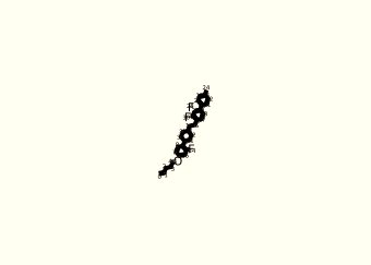 C=CCCCOc1ccc(C2CCC(CCc3ccc(-c4ccc(C)cc4)c(F)c3F)CC2)c(F)c1